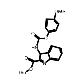 COc1ccc(OC(=O)NC2C(C(=O)OC(C)(C)C)=Nc3ccccc32)cc1